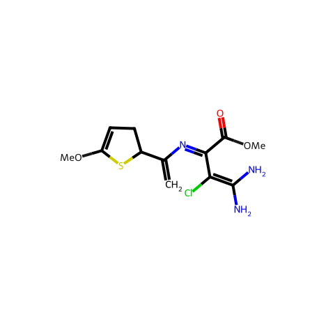 C=C(/N=C(/C(=O)OC)C(Cl)=C(N)N)C1CC=C(OC)S1